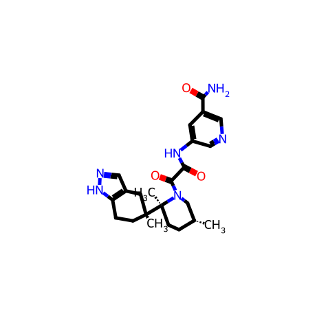 C[C@@H]1CC[C@@](C)([C@]2(C)CCc3[nH]ncc3C2)N(C(=O)C(=O)Nc2cncc(C(N)=O)c2)C1